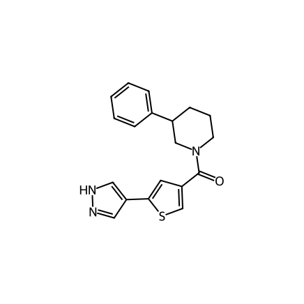 O=C(c1csc(-c2cn[nH]c2)c1)N1CCCC(c2ccccc2)C1